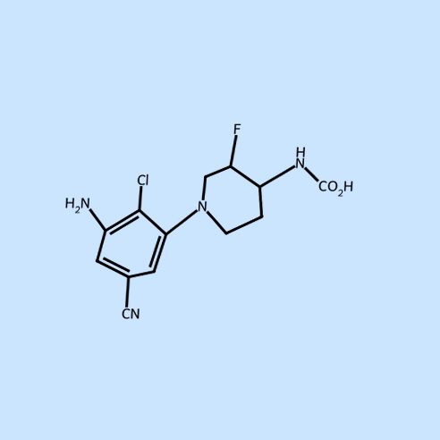 N#Cc1cc(N)c(Cl)c(N2CCC(NC(=O)O)C(F)C2)c1